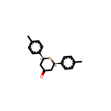 Cc1ccc([C@@H]2CC(=O)C[C@H](c3ccc(C)cc3)S2)cc1